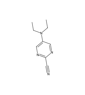 CCN(CC)c1cnc(C#N)nc1